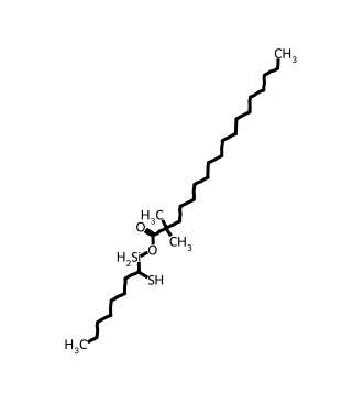 CCCCCCCCCCCCCCCCC(C)(C)C(=O)O[SiH2]C(S)CCCCCCC